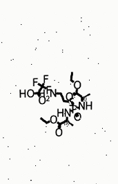 CCOC(=O)[C@H](C)NP(=O)(N[C@H](C)C(=O)OCC)SCCN.O=C(O)C(F)(F)F